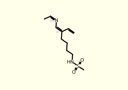 C=C/C(=C\N=C/C)CCCCNS(C)(=O)=O